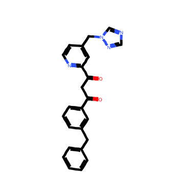 O=C(CC(=O)c1cc(Cn2cncn2)ccn1)c1cccc(Cc2ccccc2)c1